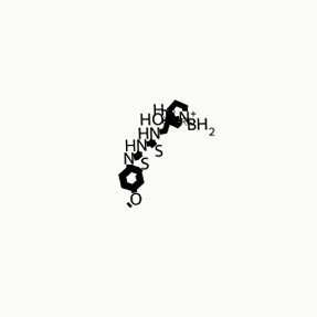 B[N@@+]12CC[C@@H](C1)[C@](O)(CNC(=S)Nc1nc3ccc(OC)cc3s1)C2